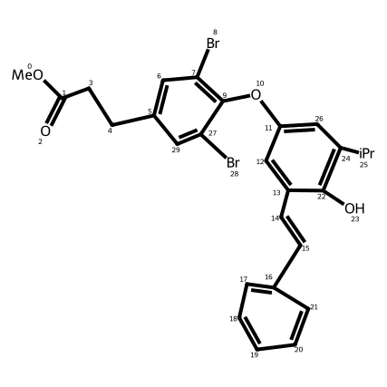 COC(=O)CCc1cc(Br)c(Oc2cc(/C=C/c3ccccc3)c(O)c(C(C)C)c2)c(Br)c1